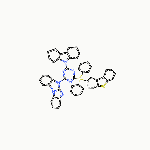 c1ccc(S(c2ccccc2)(c2ccc3sc4ccccc4c3c2)c2nc(-n3c4ccccc4c4ccccc43)nc(-n3c4ccccc4n4c5ccccc5nc34)n2)cc1